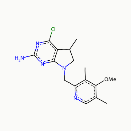 COc1c(C)cnc(CN2CC(C)c3c(Cl)nc(N)nc32)c1C